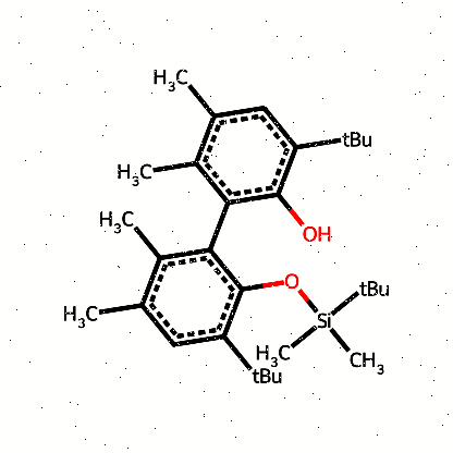 Cc1cc(C(C)(C)C)c(O)c(-c2c(C)c(C)cc(C(C)(C)C)c2O[Si](C)(C)C(C)(C)C)c1C